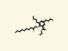 CCCCCCCCC(I)COc1c(CCCC)cc(CCCC)cc1C(=O)OCC